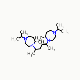 CC(C)N1CC[C@H](C)N(C(C)CCC(C)N2CCN(C(C)C)CC[C@@H]2C)CC1